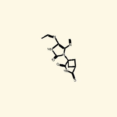 C=Nc1c(/N=C\C)[nH]c(=O)n1C12CC(C1)C(=O)NC2=O